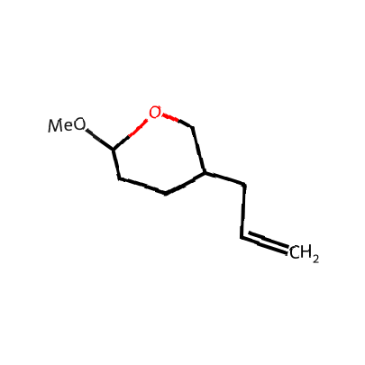 C=CCC1CCC(OC)OC1